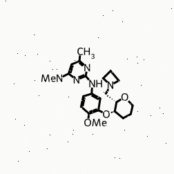 CNc1cc(C)nc(Nc2ccc(OC)c(O[C@H]3CCCO[C@H]3CN3CCC3)c2)n1